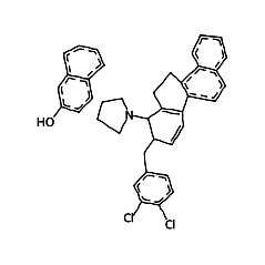 Clc1ccc(CC2C=CC3=C(CCc4c3ccc3ccccc43)C2N2CCCC2)cc1Cl.Oc1ccc2ccccc2c1